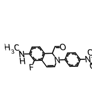 CNc1ccc2c(c1F)C=CN(c1ccc([N+](=O)[O-])cc1)C2C=O